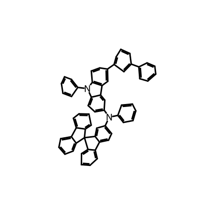 c1ccc(-c2cccc(-c3ccc4c(c3)c3cc(N(c5ccccc5)c5ccc6c(c5)C5(c7ccccc7-c7ccccc75)c5ccccc5-6)ccc3n4-c3ccccc3)c2)cc1